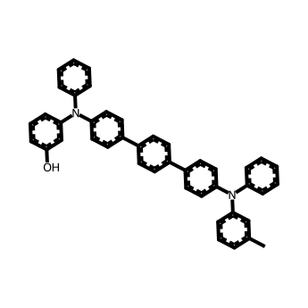 Cc1cccc(N(c2ccccc2)c2ccc(-c3ccc(-c4ccc(N(c5ccccc5)c5cccc(O)c5)cc4)cc3)cc2)c1